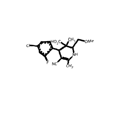 COCC1NC(C)=C(C#N)C(c2ccc(Cl)cc2F)C1(C)C(=O)O